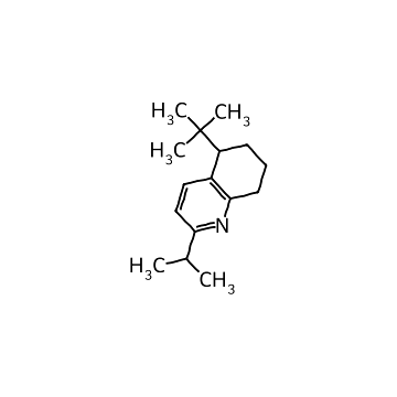 CC(C)c1ccc2c(n1)CCCC2C(C)(C)C